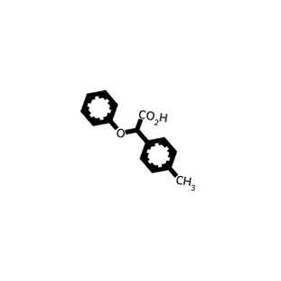 Cc1ccc(C(Oc2ccccc2)C(=O)O)cc1